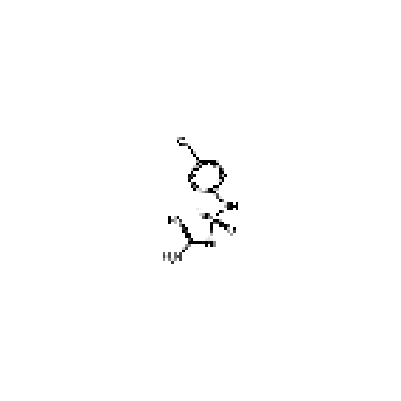 N=C(N)NS(=O)(=O)Nc1ccc(Cl)cc1